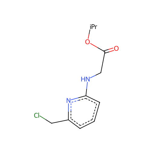 CC(C)OC(=O)CNc1cccc(CCl)n1